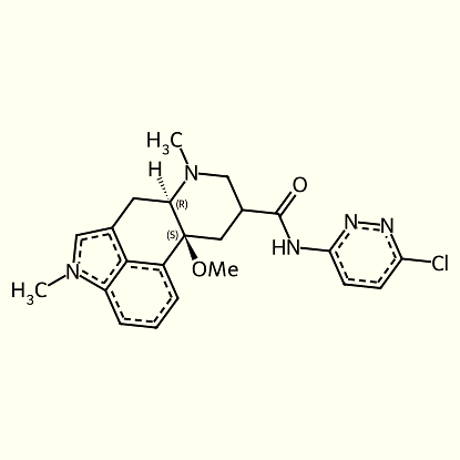 CO[C@]12CC(C(=O)Nc3ccc(Cl)nn3)CN(C)[C@@H]1Cc1cn(C)c3cccc2c13